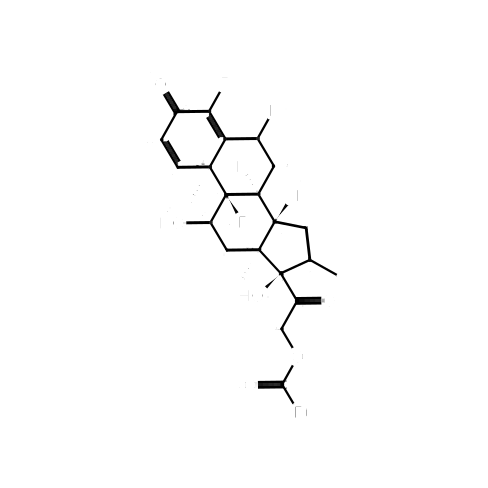 CCC(=O)OCC(=O)[C@@]1(O)C(C)C[C@H]2[C@@H]3CC(F)C4=C(F)C(=O)C=C[C@]4(C)[C@@]3(F)C(O)C[C@@]21C